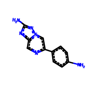 Nc1ccc(-c2cn3nc(N)nc3cn2)cc1